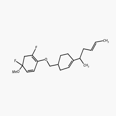 CC=CCC(C)C1=CCC(COC2=C(F)CC(F)(OC)C=C2)CC1